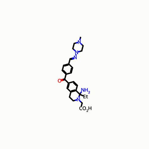 CCC1(N)c2ccc(C(=O)c3ccc(C=NN4CCN(C)CC4)cc3)cc2CCN1CC(=O)O